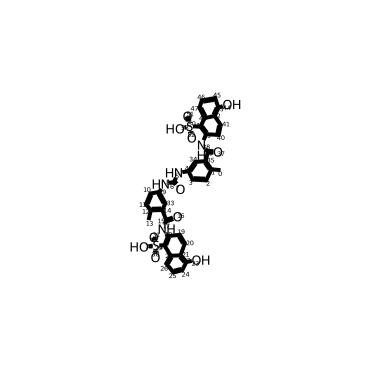 Cc1ccc(NC(=O)Nc2ccc(C)c(C(=O)Nc3ccc4c(O)cccc4c3S(=O)(=O)O)c2)cc1C(=O)Nc1ccc2c(O)cccc2c1S(=O)(=O)O